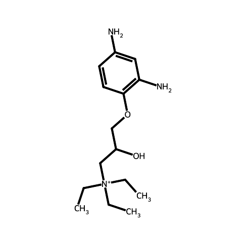 CC[N+](CC)(CC)CC(O)COc1ccc(N)cc1N